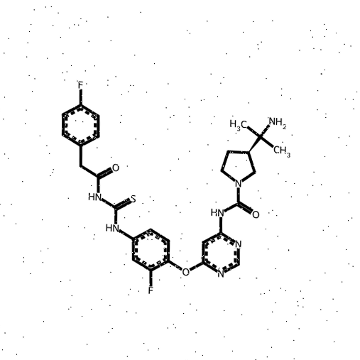 CC(C)(N)[C@@H]1CCN(C(=O)Nc2cc(Oc3ccc(NC(=S)NC(=O)Cc4ccc(F)cc4)cc3F)ncn2)C1